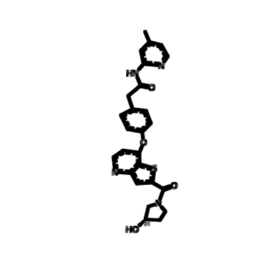 Cc1ccnc(NC(=O)Cc2ccc(Oc3ccnc4cc(C(=O)N5CC[C@@H](O)C5)sc34)cc2)c1